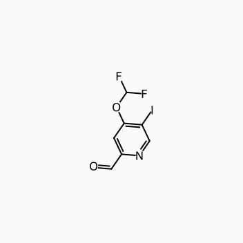 O=Cc1cc(OC(F)F)c(I)cn1